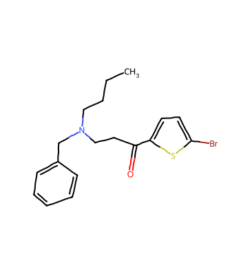 CCCCN(CCC(=O)c1ccc(Br)s1)Cc1ccccc1